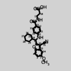 COc1ccc2oc(C(Nc3ccc(C(=O)NCCC(=O)O)cc3)C3CCCCC3)c(C#N)c2c1